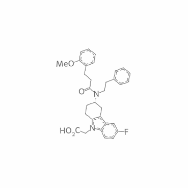 COc1ccccc1CCC(=O)N(CCc1ccccc1)[C@H]1CCc2c(c3cc(F)ccc3n2CC(=O)O)C1